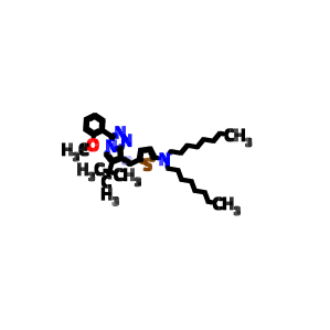 CCCCCCCCN(CCCCCCCC)c1ccc(/C=c2/c(C(C)(C)C)cn3c(-c4ccccc4OC)nnc23)s1